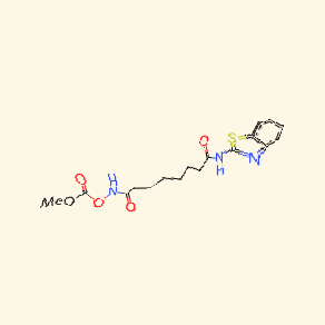 COC(=O)ONC(=O)CCCCCCC(=O)Nc1nc2ccccc2s1